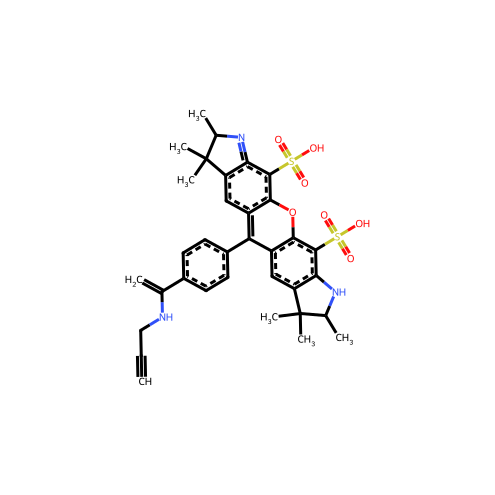 C#CCNC(=C)c1ccc(C2=c3cc4c(c(S(=O)(=O)O)c3Oc3c2cc2c(c3S(=O)(=O)O)NC(C)C2(C)C)=NC(C)C4(C)C)cc1